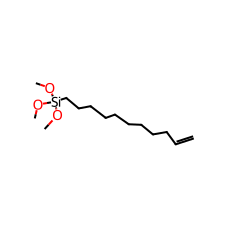 C=CCCCCCCCCC[Si](OC)(OC)OC